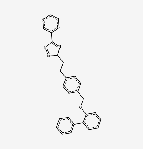 c1ccc(-c2ccccc2OCc2ccc(CCC3N=NC(c4cccnc4)=N3)cc2)cc1